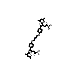 CCN(CC)C(=O)Cc1c(-c2ccc(OC/C=C/COc3ccc(-c4nc5c(C)cc(C)nn5c4CC(=O)N(CC)CC)cc3)cc2)nn2c(C)cc(C)nc12